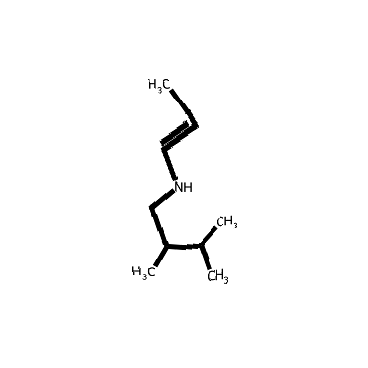 CC=CNCC(C)C(C)C